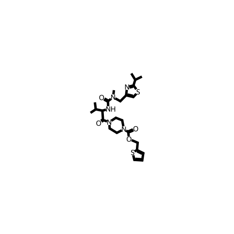 CC(C)c1nc(CN(C)C(=O)NC(C(=O)N2CCN(C(=O)OCc3cccs3)CC2)C(C)C)cs1